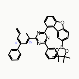 C=C/C=C(\C=C(/C)c1nc(-c2ccccc2)nc(-c2cccc3oc4ccc(B5OC(C)(C)C(C)(C)O5)cc4c23)n1)c1ccccc1